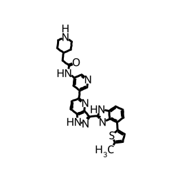 Cc1ccc(-c2cccc3[nH]c(-c4n[nH]c5ccc(-c6cncc(NC(=O)CC7CCNCC7)c6)nc45)nc23)s1